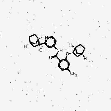 O=C(Nc1ccnc([C@@]2(O)C[C@H]3CC[C@@H]2C3)c1)c1ccc(C(F)(F)F)cc1O[C@@H]1C[C@H]2CC[C@@H]1C2